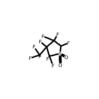 O=S1(=O)C(F)C(F)(F)C(F)(C(F)(F)F)C1(F)F